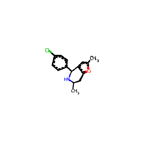 Cc1cc2c(o1)CC(C)NC2c1ccc(Cl)cc1